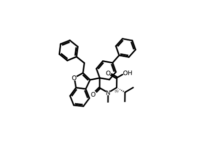 CC(C)[C@@H](C(=O)O)N(C)C(=O)C1(c2c(Cc3ccccc3)oc3ccccc23)C=CC(c2ccccc2)=CC1